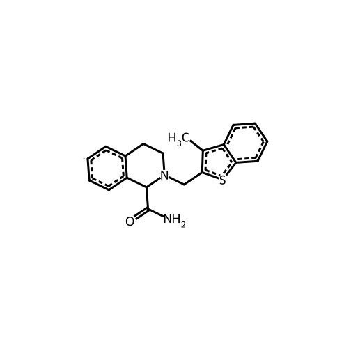 Cc1c(CN2CCc3c[c]ccc3C2C(N)=O)sc2ccccc12